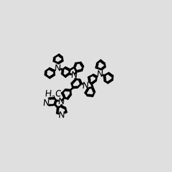 Cc1cc(-c2cc(-n3c4ccccc4c4cc(N(c5ccccc5)c5ccccc5)ccc43)cc(-n3c4ccccc4c4cc(N(c5ccccc5)c5ccccc5)ccc43)c2)ccc1-n1c2ccncc2c2cnccc21